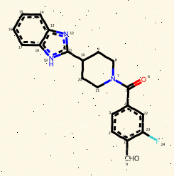 O=Cc1ccc(C(=O)N2CCC(c3nc4ccccc4[nH]3)CC2)cc1F